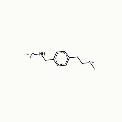 CNCc1ccc(CCNI)cc1